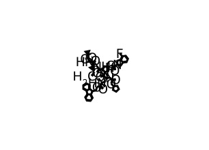 C=C[C@@H]1C[C@]1(NC(=O)C1C[C@@H](OC(=O)N2Cc3cccc(F)c3C2)CN1C(=O)[C@H](CNC(=O)OCC1c2ccccc2-c2ccccc21)NC(=O)OC1CCCC1)C(=O)NS(=O)(=O)C1CC1